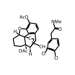 CC(=O)Oc1ccc2c3c1O[C@H]1CCC[C@@]4(OC(C)=O)[C@@H](C2)N(C)CC[C@]314.CNC(=O)Cc1ccc(Cl)c(Cl)c1